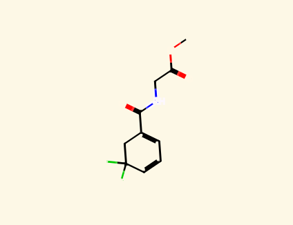 COC(=O)CNC(=O)C1=CC=CC(Cl)(Cl)C1